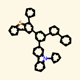 c1ccc(-c2cccc(-c3cc(-c4cc(-c5ccccc5)c5sc6ccccc6c5c4)cc(-c4ccc5c6ccccc6n(-c6ccccc6)c5c4)c3)c2)cc1